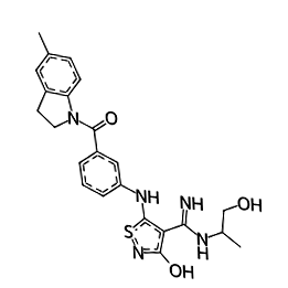 Cc1ccc2c(c1)CCN2C(=O)c1cccc(Nc2snc(O)c2C(=N)NC(C)CO)c1